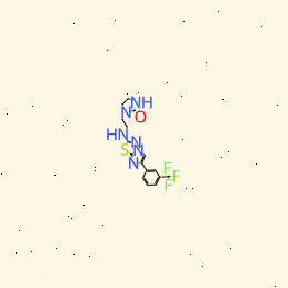 O=C1NCCN1CCNc1nn2cc(-c3cccc(C(F)(F)F)c3)nc2s1